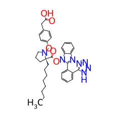 CCCCCCCC[C@@]1(C(=O)On2c(-c3ccccc3-c3nnn[nH]3)nc3ccccc32)CCCN1Oc1ccc(CC(=O)O)cc1